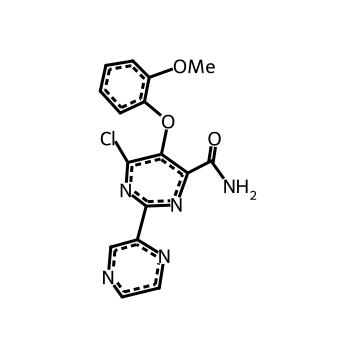 COc1ccccc1Oc1c(Cl)nc(-c2cnccn2)nc1C(N)=O